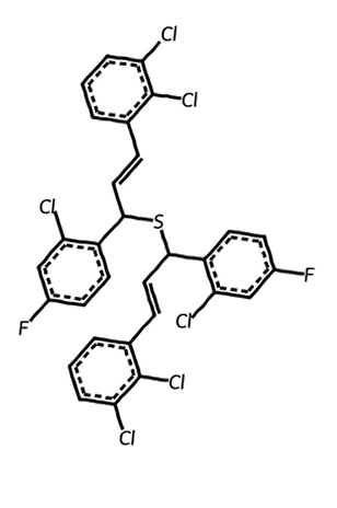 Fc1ccc(C(C=Cc2cccc(Cl)c2Cl)SC(C=Cc2cccc(Cl)c2Cl)c2ccc(F)cc2Cl)c(Cl)c1